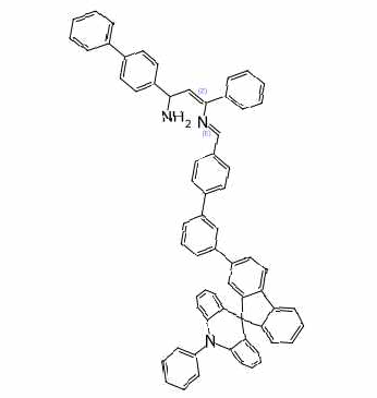 NC(/C=C(\N=C\c1ccc(-c2cccc(-c3ccc4c(c3)C3(c5ccccc5-4)c4ccccc4N(c4ccccc4)c4ccccc43)c2)cc1)c1ccccc1)c1ccc(-c2ccccc2)cc1